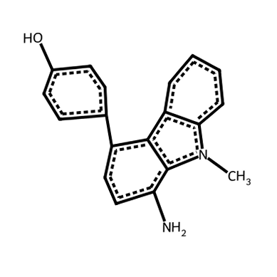 Cn1c2ccccc2c2c(-c3ccc(O)cc3)ccc(N)c21